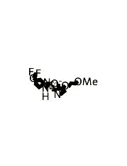 COCCCOc1ccnc(C[S@+]([O-])c2nc3cc(OC(F)F)ccc3[nH]2)c1C